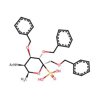 CC(=O)N[C@H]1[C@@H](OCc2ccccc2)[C@H](OCc2ccccc2)[C@@](COCc2ccccc2)(P(=O)(O)O)O[C@H]1C